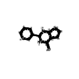 O=c1[nH]c(-c2cccnc2)nc2sccc12